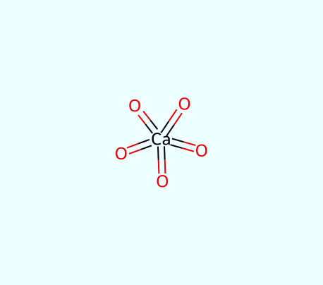 [O]=[Ca](=[O])(=[O])(=[O])=[O]